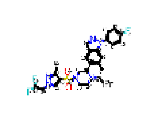 Cc1cc2c(cnn2-c2ccc(F)cc2)cc1[C@@H]1CN(S(=O)(=O)c2cn(CC(F)F)nc2C)CCN1CC(C)C